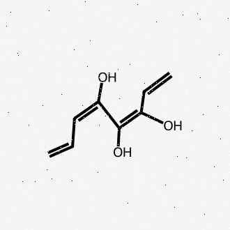 C=C/C=C(O)\C(O)=C(\O)C=C